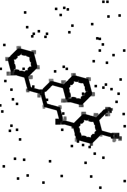 Cc1ccc(NCCN(Cc2ccccn2)Cc2ccccn2)cc1C(C)C